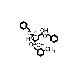 Cc1cccc(CP(=O)(O)C(CCC(O)OCc2ccccc2)NC(=O)OCc2ccccc2)c1